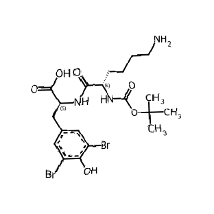 CC(C)(C)OC(=O)N[C@@H](CCCCN)C(=O)N[C@@H](Cc1cc(Br)c(O)c(Br)c1)C(=O)O